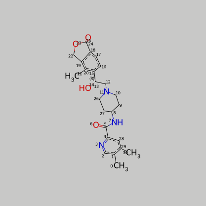 Cc1cnc(C(=O)NC2CCN(C[C@H](O)c3ccc4c(c3C)COC4=O)CC2)cc1C